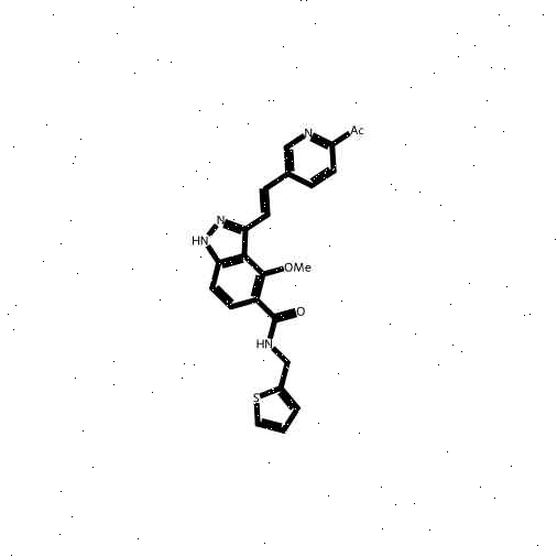 COc1c(C(=O)NCc2cccs2)ccc2[nH]nc(/C=C/c3ccc(C(C)=O)nc3)c12